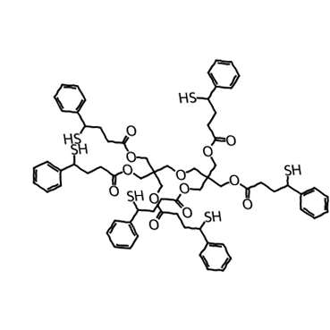 O=C(CCC(S)c1ccccc1)OCC(COCC(COC(=O)CCC(S)c1ccccc1)(COC(=O)CCC(S)c1ccccc1)COC(=O)CCC(S)c1ccccc1)(COC(=O)CCC(S)c1ccccc1)COC(=O)CCC(S)c1ccccc1